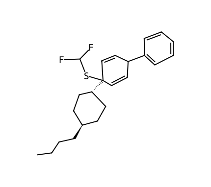 CCCC[C@H]1CC[C@H](C2(SC(F)F)C=CC(c3ccccc3)C=C2)CC1